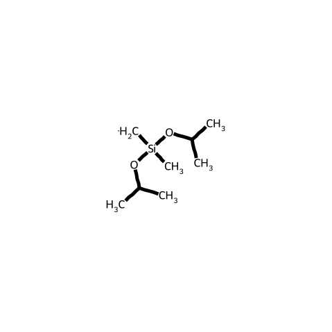 [CH2][Si](C)(OC(C)C)OC(C)C